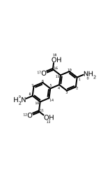 Nc1ccc(-c2ccc(N)c(C(=O)O)c2)c(C(=O)O)c1